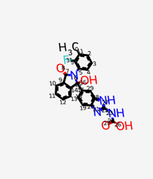 Cc1cccc(N2C(=O)c3ccccc3C2(O)c2ccc3nc(NC(=O)O)[nH]c3c2)c1F